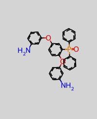 Nc1cccc(Oc2ccc(Oc3cccc(N)c3)c(P(=O)(c3ccccc3)c3ccccc3)c2)c1